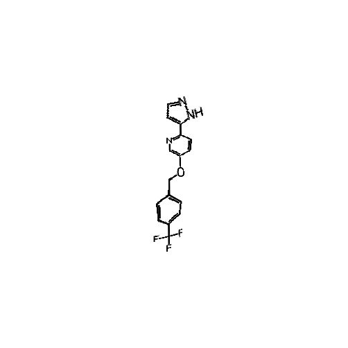 FC(F)(F)c1ccc(COc2ccc(-c3ccn[nH]3)nc2)cc1